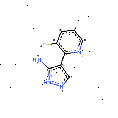 Nc1[nH]ncc1-c1ncccc1F